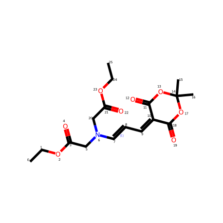 CCOC(=O)CN(/C=C/C=C1C(=O)OC(C)(C)OC1=O)CC(=O)OCC